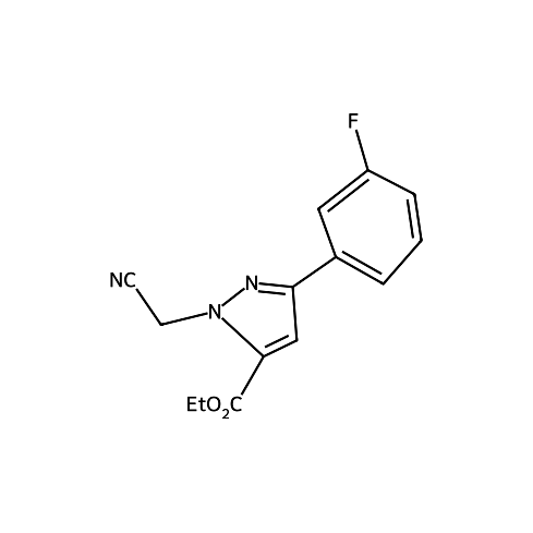 CCOC(=O)c1cc(-c2cccc(F)c2)nn1CC#N